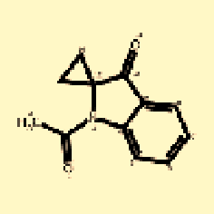 CC(=O)N1c2ccccc2C(=O)C12CC2